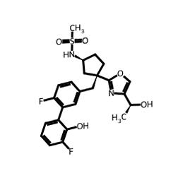 C[C@H](O)c1coc([C@@]2(Cc3ccc(F)c(-c4cccc(F)c4O)c3)CC[C@H](NS(C)(=O)=O)C2)n1